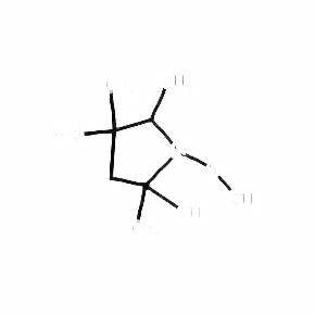 CSN1C(C)C(C)(C)CC1(C)C